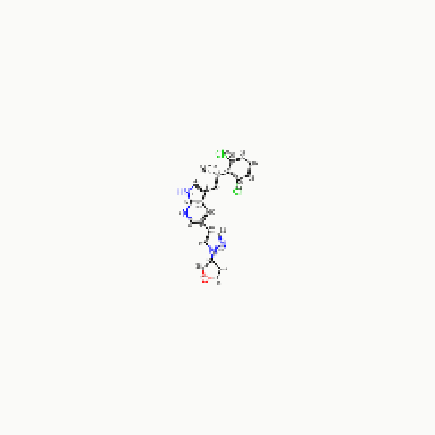 N#C/C(=C\c1c[nH]c2ncc(-c3cnn(C4CCOC4)c3)cc12)c1c(Cl)cccc1Cl